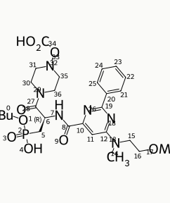 CCCCOP(=O)(O)C[C@H](NC(=O)c1cc(N(C)CCOC)nc(-c2ccccc2)n1)C(=O)N1CCN(OC(=O)O)CC1